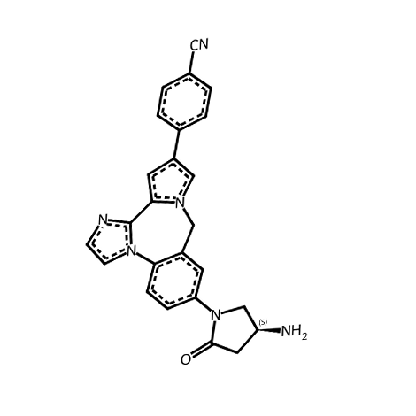 N#Cc1ccc(-c2cc3n(c2)Cc2cc(N4C[C@@H](N)CC4=O)ccc2-n2ccnc2-3)cc1